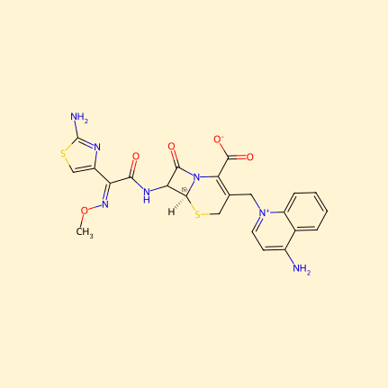 CON=C(C(=O)NC1C(=O)N2C(C(=O)[O-])=C(C[n+]3ccc(N)c4ccccc43)CS[C@@H]12)c1csc(N)n1